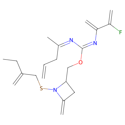 C=CC/C(C)=N\C(=N/C(=C)C(=C)F)OCC1CC(=C)N1SCC(=C)CC